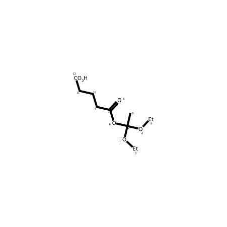 CCOC(C)(OCC)OC(=O)CCCC(=O)O